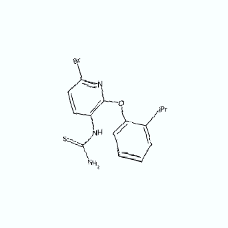 CC(C)c1ccccc1Oc1nc(Br)ccc1NC(N)=S